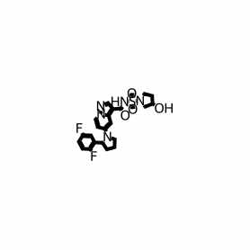 O=C(NS(=O)(=O)N1CCC(O)C1)c1cnn2ccc(N3CCCC3c3cc(F)ccc3F)cc12